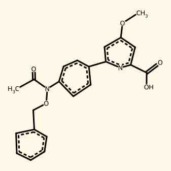 COc1cc(C(=O)O)nc(-c2ccc(N(OCc3ccccc3)C(C)=O)cc2)c1